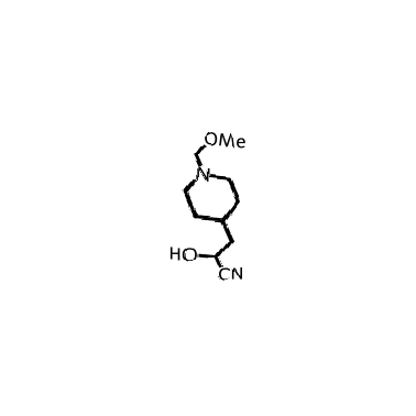 COCN1CCC(CC(O)C#N)CC1